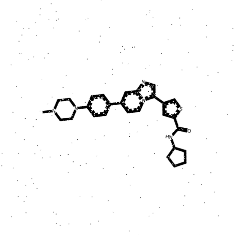 CN1CCN(c2ccc(-c3ccn4c(-c5csc(C(=O)NC6CCCC6)c5)cnc4c3)cc2)CC1